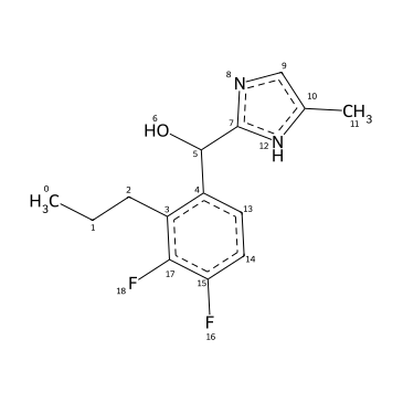 CCCc1c(C(O)c2ncc(C)[nH]2)ccc(F)c1F